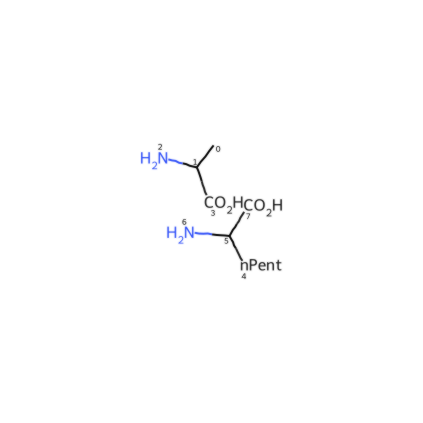 CC(N)C(=O)O.CCCCCC(N)C(=O)O